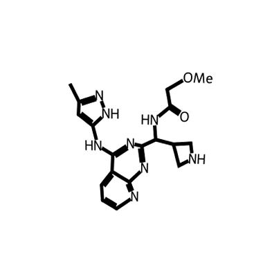 COCC(=O)NC(c1nc(Nc2cc(C)n[nH]2)c2cccnc2n1)C1CNC1